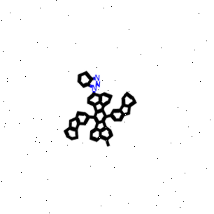 Cc1ccc2c3c(-c4ccc5c(c4)-c4ccccc4C5)c4c5cccc6c(-n7nnc8ccccc87)ccc(c4c(-c4ccc7c(c4)C4=C(C=CCC4)C7)c3c3cccc1c32)c65